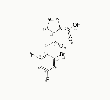 O=C(Cc1c(F)cc(F)cc1Br)C1CCCN1C(=O)O